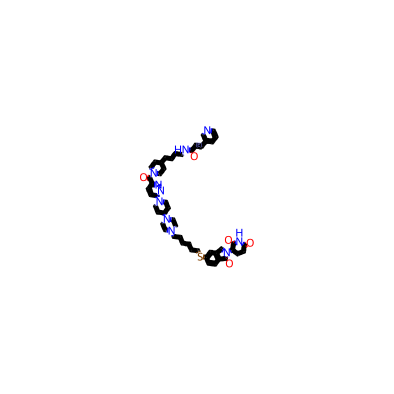 O=C(/C=C/c1cccnc1)NCCCCC1CCN(C(=O)c2ccc(N3CCC(N4CCN(CCCCCCSc5ccc6c(c5)CN(C5CCC(=O)NC5=O)C6=O)CC4)CC3)nn2)CC1